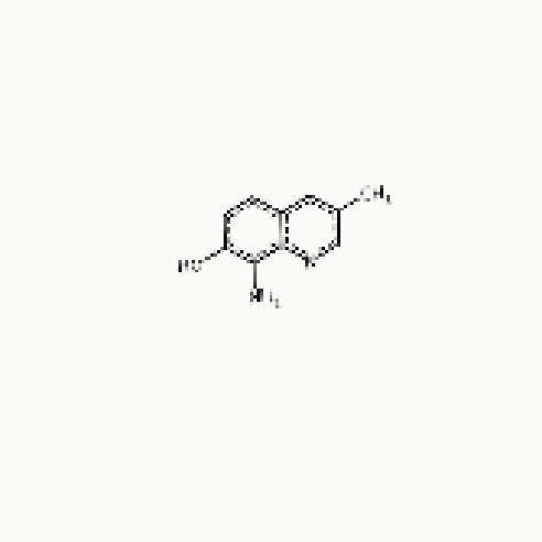 Cc1cnc2c(N)c(O)ccc2c1